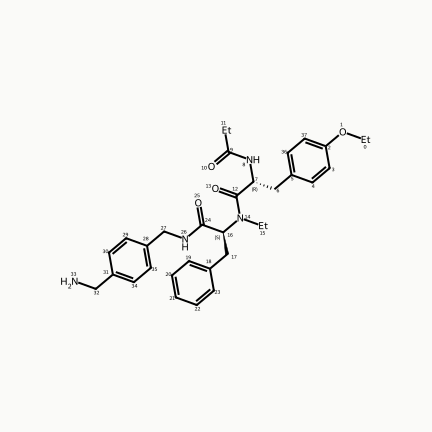 CCOc1ccc(C[C@@H](NC(=O)CC)C(=O)N(CC)[C@@H](Cc2ccccc2)C(=O)NCc2ccc(CN)cc2)cc1